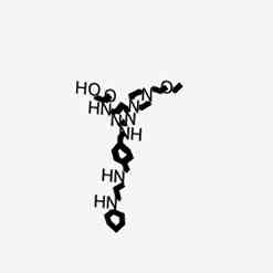 CCOCCN1CCN(c2cc(NC(=O)CO)nc(NCc3ccc(CNCCCNC4CCCCC4)cc3)n2)CC1